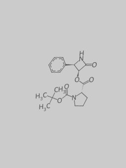 CC(C)(C)OC(=O)N1CCC[C@H]1C(=O)O[C@@H]1C(=O)N[C@@H]1c1ccccc1